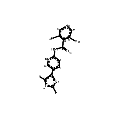 Cc1nc(-c2ccc(NC(=O)c3c(F)cncc3F)nc2)c(C)o1